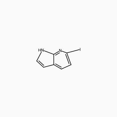 Ic1ccc2cc[nH]c2n1